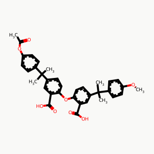 COc1ccc(C(C)(C)c2ccc(Oc3ccc(C(C)(C)c4ccc(OC(C)=O)cc4)cc3C(=O)O)c(C(=O)O)c2)cc1